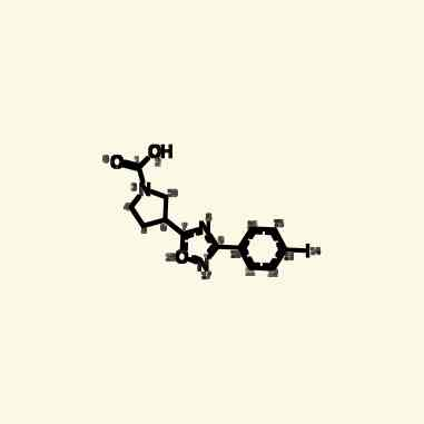 O=C(O)N1CCC(c2nc(-c3ccc(I)cc3)no2)C1